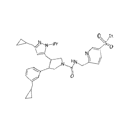 CCS(=O)(=O)c1ccc(CNC(=O)N2CC(c3cccc(C4CC4)c3)C(c3cc(C4CC4)nn3C(C)C)C2)nc1